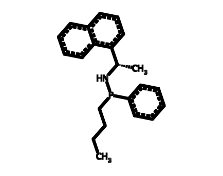 CCCCP(N[C@@H](C)c1cccc2ccccc12)c1ccccc1